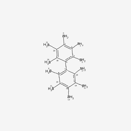 Bc1c(B)c(B)c(-c2c(B)c(B)c(B)c(B)c2N)c(B)c1B